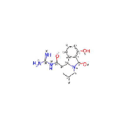 CC(C)CN1C(=O)c2c(O)cccc2C1CC(=O)NC(=N)N